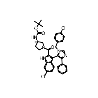 CC(C)(C)OC(=O)N[C@@H]1CCN(C(=O)c2[nH]c3cc(Cl)ccc3c2-c2c(-c3ccccc3)ncn2Cc2ccc(Cl)cc2)C1